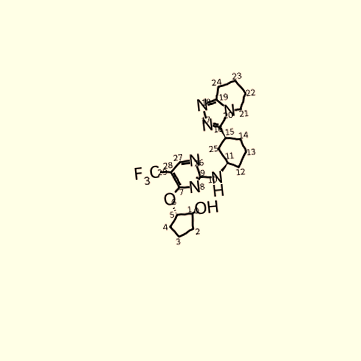 OC1CCC[C@@H]1Oc1nc(N[C@@H]2CCC[C@H](c3nnc4n3CCCC4)C2)ncc1C(F)(F)F